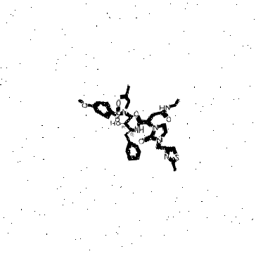 CCNC(=O)CC(C(=O)N[C@@H](Cc1ccccc1)[C@H](O)CN(CC(C)C)S(=O)(=O)c1ccc(OC)cc1)N1CCN(Cc2csc(C)n2)C1=O